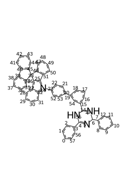 c1ccc(C2=NC(c3ccccc3)NC(c3cccc(-c4ccc(-n5c6c(c7ccccc75)C5(c7ccccc7-c7ccccc75)c5ccccc5-6)cc4)c3)N2)cc1